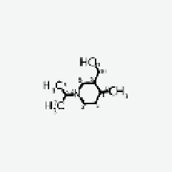 CC1CCN(C(C)C)CC1CO